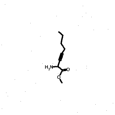 CCCCC#CC(N)C(=O)OC